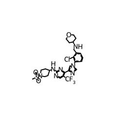 CS(=O)(=O)N1CCC(Nc2ncc(C(F)(F)F)c(-c3cn(-c4cccc(CNC5CCOCC5)c4Cl)cn3)n2)CC1